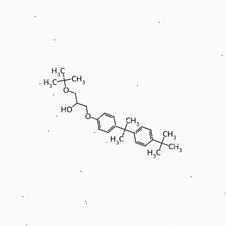 CC(C)(C)OCC(O)COc1ccc(C(C)(C)c2ccc(C(C)(C)C)cc2)cc1